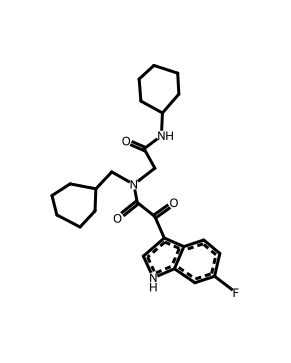 O=C(CN(CC1CCCCC1)C(=O)C(=O)c1c[nH]c2cc(F)ccc12)NC1CCCCC1